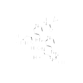 [2H]C([2H])([2H])CC(=O)c1cnc(NC(=O)C2CC2)cc1Nc1nccc2c1N(C)[C@@H](C)c1nc(C)nn1-2